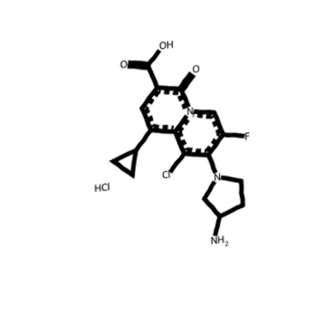 Cl.NC1CCN(c2c(F)cn3c(=O)c(C(=O)O)cc(C4CC4)c3c2Cl)C1